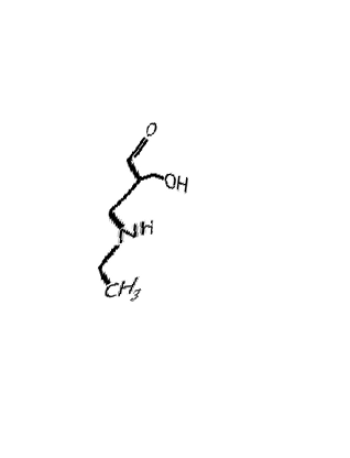 CCNCC(O)C=O